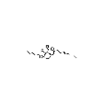 C=CCC/C=C/CCc1cc2ccc(OCCCCC)c(F)c2c(=O)o1